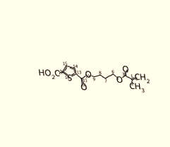 C=C(C)C(=O)OCCCCOC(=O)c1ccc(C(=O)O)s1